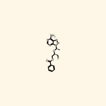 C[C@@H](O[C@@H](CF)COC(=O)c1ccccc1)n1nnc2c(N)ncnc21